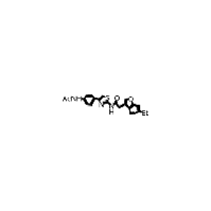 CCc1ccc2c(CC(=O)Nc3nc(-c4ccc(NC(C)=O)cc4)cs3)coc2c1